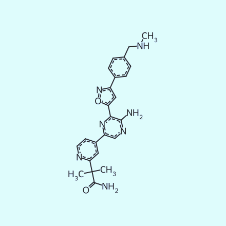 CNCc1ccc(-c2cc(-c3nc(-c4ccnc(C(C)(C)C(N)=O)c4)cnc3N)on2)cc1